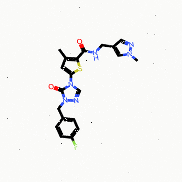 Cc1cc(-n2cnn(Cc3ccc(F)cc3)c2=O)sc1C(=O)NCc1cnn(C)c1